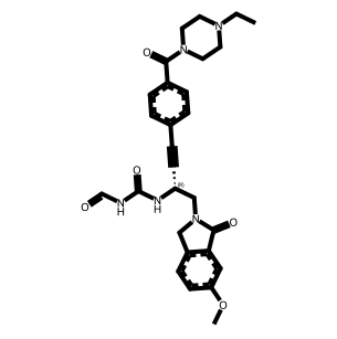 CCN1CCN(C(=O)c2ccc(C#C[C@H](CN3Cc4ccc(OC)cc4C3=O)NC(=O)NC=O)cc2)CC1